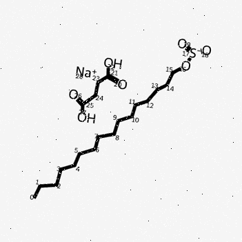 CCCCCCCCCCCCCCCCO[S-](=O)=O.O=C(O)CCC(=O)O.[Na+]